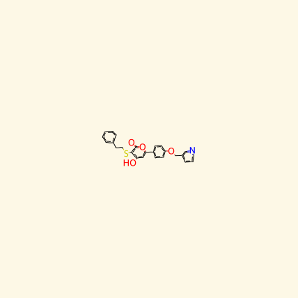 O=c1oc(-c2ccc(OCc3cccnc3)cc2)cc(O)c1SCCc1ccccc1